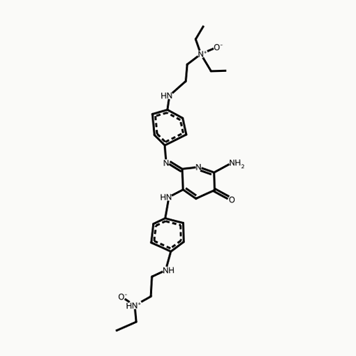 CC[NH+]([O-])CCNc1ccc(NC2=CC(=O)C(N)=N/C2=N\c2ccc(NCC[N+]([O-])(CC)CC)cc2)cc1